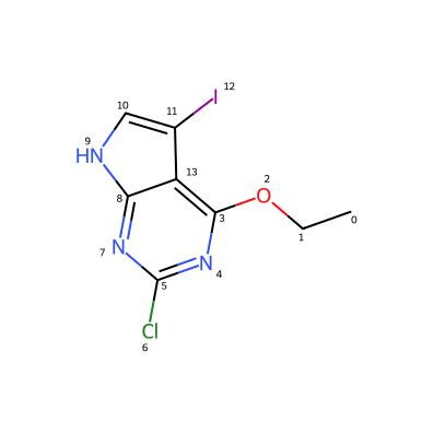 CCOc1nc(Cl)nc2[nH]cc(I)c12